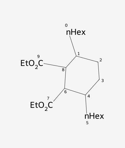 CCCCCCC1CCC(CCCCCC)C(C(=O)OCC)C1C(=O)OCC